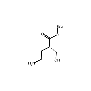 CC(C)(C)OC(=O)[C@H](CO)CCN